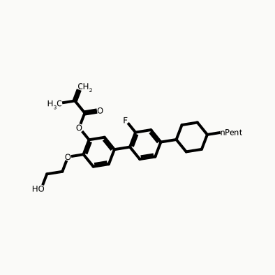 C=C(C)C(=O)Oc1cc(-c2ccc(C3CCC(CCCCC)CC3)cc2F)ccc1OCCO